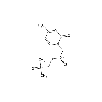 CC[C@H](Cn1ccc(C)nc1=O)OCP(C)(C)=O